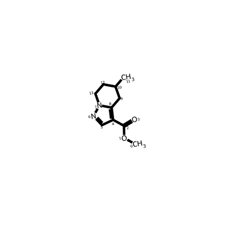 COC(=O)c1cnn2c1CC(C)CC2